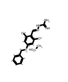 CC(=O)O.N=C(N)N/N=C/c1c(Cl)cc(OCc2ccccc2)cc1Cl